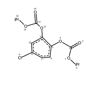 CC(C)OC(=O)Oc1ccc(Cl)cc1OC(=O)OC(C)C